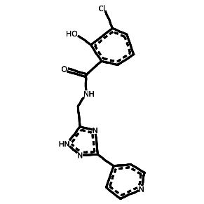 O=C(NCc1nc(-c2ccncc2)n[nH]1)c1cccc(Cl)c1O